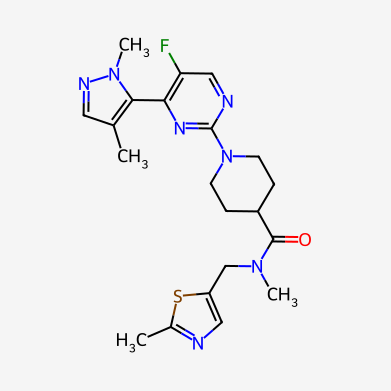 Cc1ncc(CN(C)C(=O)C2CCN(c3ncc(F)c(-c4c(C)cnn4C)n3)CC2)s1